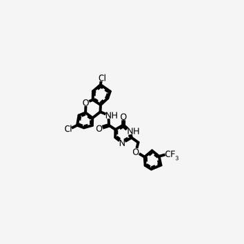 O=C(NC1c2ccc(Cl)cc2Oc2cc(Cl)ccc21)c1cnc(COc2cccc(C(F)(F)F)c2)[nH]c1=O